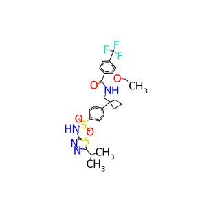 CCOc1cc(C(F)(F)F)ccc1C(=O)NCC1(c2ccc(S(=O)(=O)Nc3nnc(C(C)C)s3)cc2)CCC1